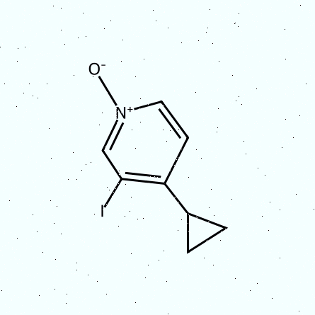 [O-][n+]1ccc(C2CC2)c(I)c1